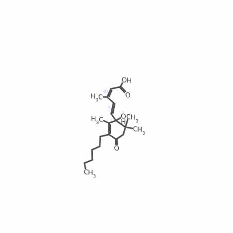 CCCCCCC1=C(C)C(O)(/C=C/C(C)=C\C(=O)O)C(C)(C)CC1=O